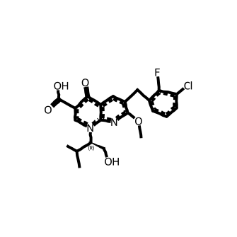 COc1nc2c(cc1Cc1cccc(Cl)c1F)c(=O)c(C(=O)O)cn2[C@@H](CO)C(C)C